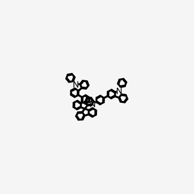 c1ccc(-n2c3ccccc3c3cc(-c4ccc(N(c5ccc(-c6cccc7c6c6ccccc6n7-c6ccccc6)cc5)c5cccc6c5C5(c7ccccc7-c7ccccc75)c5ccccc5-6)cc4)ccc32)cc1